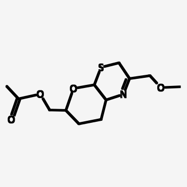 COCC1=NC2CCC(COC(C)=O)OC2SC1